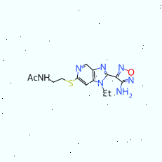 CCn1c(-c2nonc2N)nc2cnc(SCCNC(C)=O)cc21